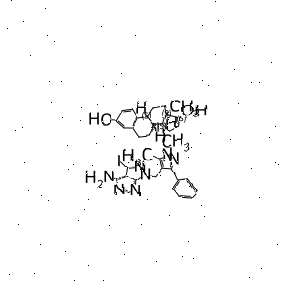 C[C@]12CC[C@@H]3c4ccc(O)cc4CC[C@H]3[C@@H]1CC[C@@H]2O.Cc1c(Cn2nc(I)c3c(N)ncnc32)c(-c2ccccc2)nn1C